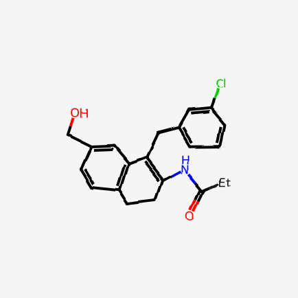 CCC(=O)NC1=C(Cc2cccc(Cl)c2)c2cc(CO)ccc2CC1